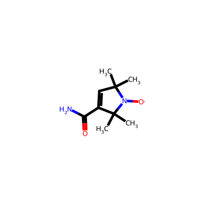 CC1(C)C=C(C(N)=O)C(C)(C)N1[O]